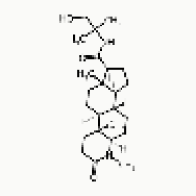 CN1C(=O)CC[C@]2(C)[C@H]3CC[C@]4(C)[C@@H](C(=O)NC(C)(C)CO)CC[C@H]4[C@@H]3CC[C@@H]12